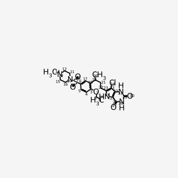 CCOc1ccc(S(=O)(=O)N2CCN(C)CC2)cc1C(C)CCc1[nH]c2c(=O)[nH]c(=O)[nH]c2c1Cl